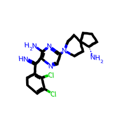 N=C(C1=C(Cl)C(Cl)=CCC1)c1ncc(N2CCC3(CCC[C@@H]3N)CC2)nc1N